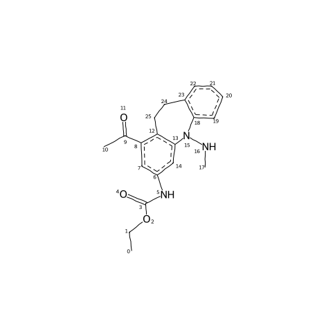 CCOC(=O)Nc1cc(C(C)=O)c2c(c1)N(NC)c1ccccc1CC2